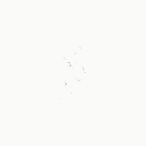 CN1CCN(c2cncc3[nH]c(-c4n[nH]c5cnc(-c6cncc(OC7CCCCC7)c6)cc45)cc23)CC1